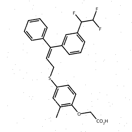 Cc1cc(SCC=C(c2ccccc2)c2cccc(C(F)C(F)F)c2)ccc1OCC(=O)O